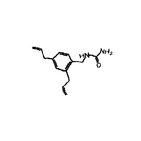 C=CCc1ccc(CNC(N)=O)c(CC=C)c1